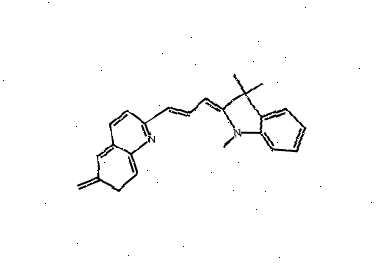 C=C1C=c2ccc(C=CC=C3N(C)c4ccccc4C3(C)C)nc2=CC1